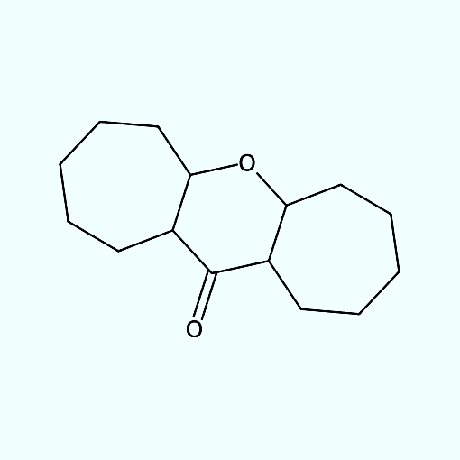 O=C1C2CCCCCC2OC2CCCCCC12